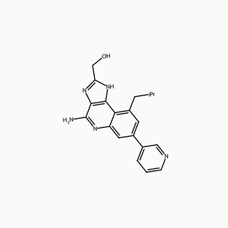 CC(C)Cc1cc(-c2cccnc2)cc2nc(N)c3nc(CO)[nH]c3c12